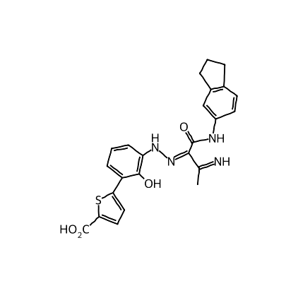 CC(=N)/C(=N/Nc1cccc(-c2ccc(C(=O)O)s2)c1O)C(=O)Nc1ccc2c(c1)CCC2